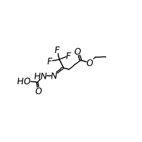 CCOC(=O)C/C(=N/NC(=O)O)C(F)(F)F